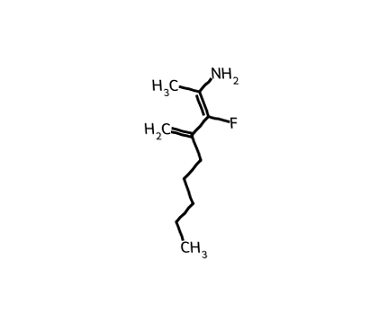 C=C(CCCCC)/C(F)=C(\C)N